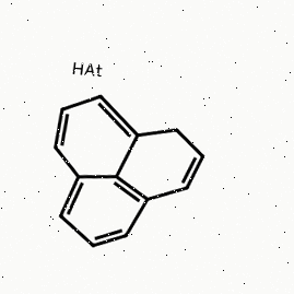 C1=Cc2cccc3cccc(c23)C1.[AtH]